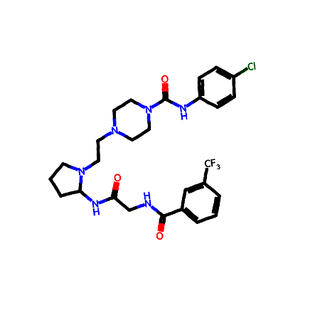 O=C(CNC(=O)c1cccc(C(F)(F)F)c1)NC1CCCN1CCN1CCN(C(=O)Nc2ccc(Cl)cc2)CC1